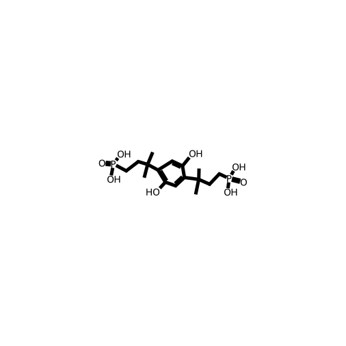 CC(C)(CCP(=O)(O)O)c1cc(O)c(C(C)(C)CCP(=O)(O)O)cc1O